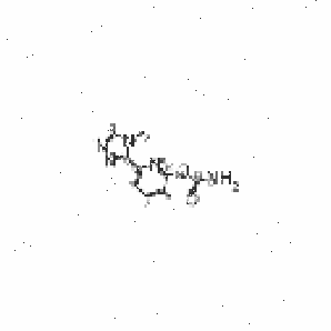 Cn1cnnc1-c1cccc(OC(N)=O)n1